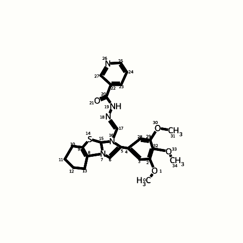 COc1cc(C2=CN3C4=C(CCCC4)SC3N2C=NNC(=O)c2cccnc2)cc(OC)c1OC